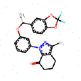 C[C@@H](Oc1cccc(-n2nc(C(F)(F)F)c3c2C(=O)CCC3)c1)c1ccc2c(c1)OC(F)(F)O2